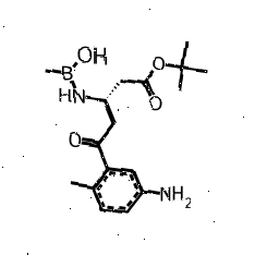 CB(O)N[C@H](CC(=O)OC(C)(C)C)CC(=O)c1cc(N)ccc1C